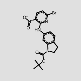 CC(C)(C)OC(=O)N1CCc2ccc(Nc3nc(Br)ccc3[N+](=O)[O-])cc21